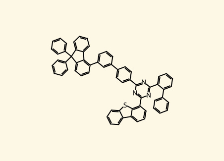 c1ccc(-c2ccccc2-c2nc(-c3ccc(-c4cccc(-c5cccc6c5-c5ccccc5C6(c5ccccc5)c5ccccc5)c4)cc3)nc(-c3cccc4c3sc3ccccc34)n2)cc1